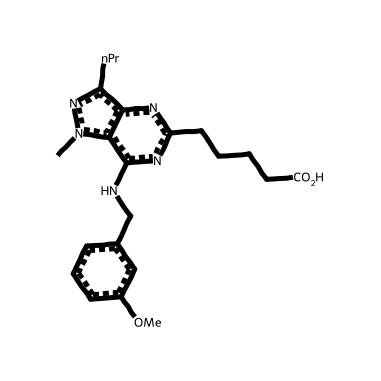 CCCc1nn(C)c2c(NCc3cccc(OC)c3)nc(CCCCC(=O)O)nc12